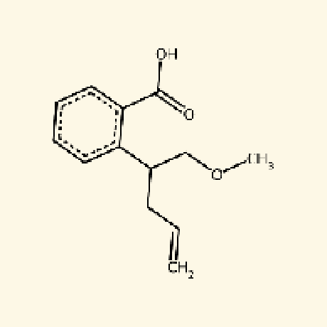 C=CCC(COC)c1ccccc1C(=O)O